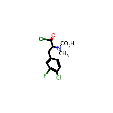 CN(C(=O)O)C(Cc1ccc(Cl)c(F)c1)C(=O)Cl